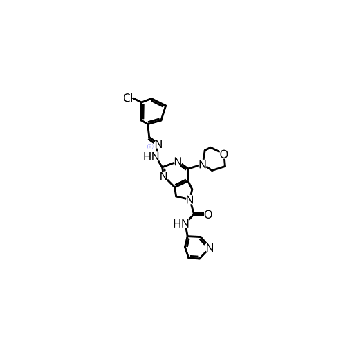 O=C(Nc1cccnc1)N1Cc2nc(N/N=C/c3cccc(Cl)c3)nc(N3CCOCC3)c2C1